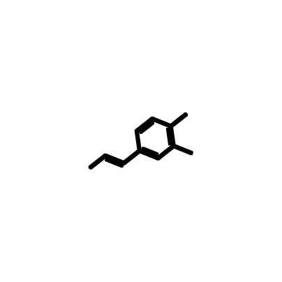 CC=Cc1ccc(C)c(C)c1